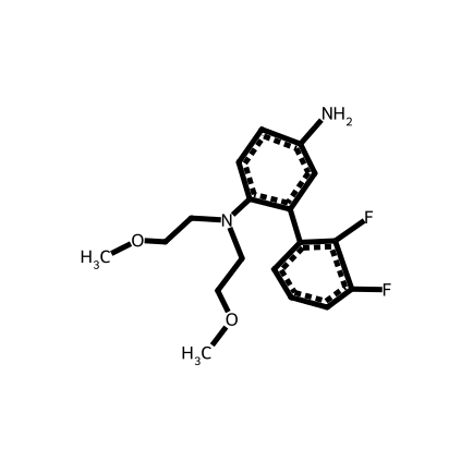 COCCN(CCOC)c1ccc(N)cc1-c1cccc(F)c1F